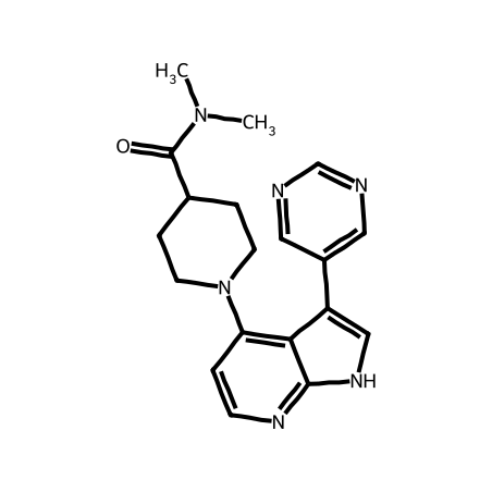 CN(C)C(=O)C1CCN(c2ccnc3[nH]cc(-c4cncnc4)c23)CC1